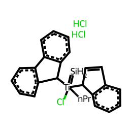 CC[CH2][Ti](=[SiH2])([Cl])([CH]1C=Cc2ccccc21)[CH]1c2ccccc2-c2ccccc21.Cl.Cl